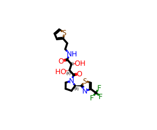 O=C(NCCc1cccs1)[C@H](O)[C@@H](O)C(=O)N1CCC[C@@H]1c1nc(C(F)(F)F)cs1